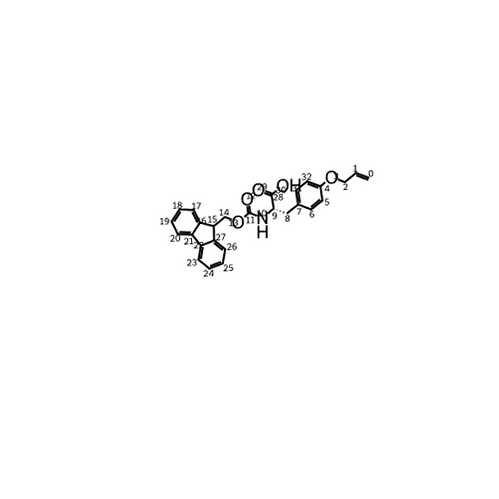 C=CCOc1ccc(C[C@H](NC(=O)OCC2c3ccccc3-c3ccccc32)C(=O)O)cc1